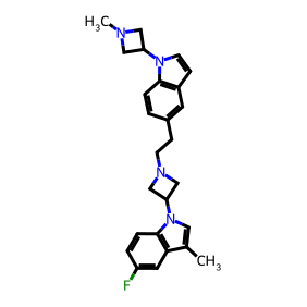 Cc1cn(C2CN(CCc3ccc4c(ccn4C4CN(C)C4)c3)C2)c2ccc(F)cc12